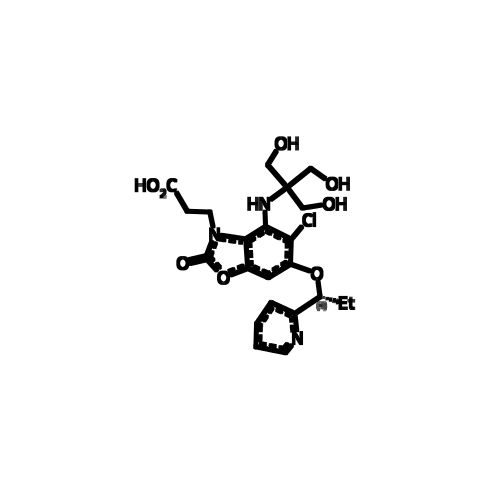 CC[C@@H](Oc1cc2oc(=O)n(CCC(=O)O)c2c(NC(CO)(CO)CO)c1Cl)c1ccccn1